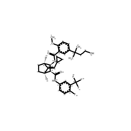 COc1ccc(C(C)(C)CCO)cc1C(=O)N[C@H]1[C@@H](C(=O)Nc2ccc(F)c(C(F)(F)F)c2)[C@H]2CC[C@@H]1/C2=C\C1CC1